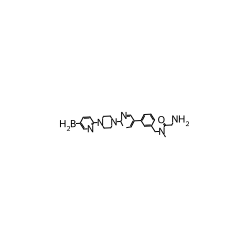 Bc1ccc(N2CCN(C(C)/N=C\C(=C/C)c3cccc(CN(C)C(=O)CN)c3)CC2)nc1